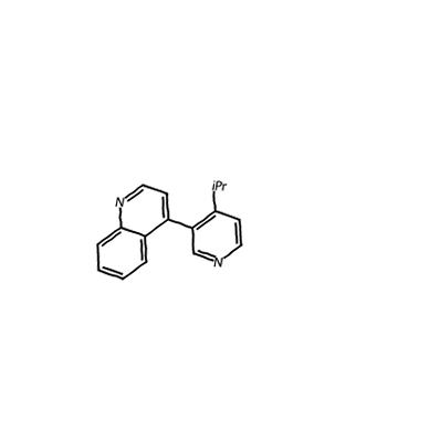 CC(C)c1ccncc1-c1ccnc2ccccc12